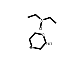 C[CH2][Al]([Cl])[CH2]C.Cl.[CH]1CNCCO1